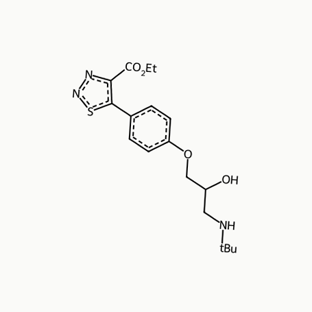 CCOC(=O)c1nnsc1-c1ccc(OCC(O)CNC(C)(C)C)cc1